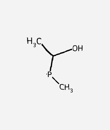 C[P]C(C)O